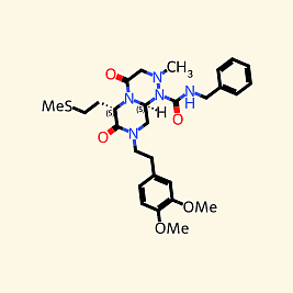 COc1ccc(CCN2C[C@H]3N(C(=O)CN(C)N3C(=O)NCc3ccccc3)[C@@H](CCSC)C2=O)cc1OC